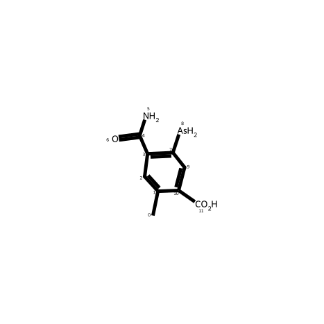 Cc1cc(C(N)=O)c([AsH2])cc1C(=O)O